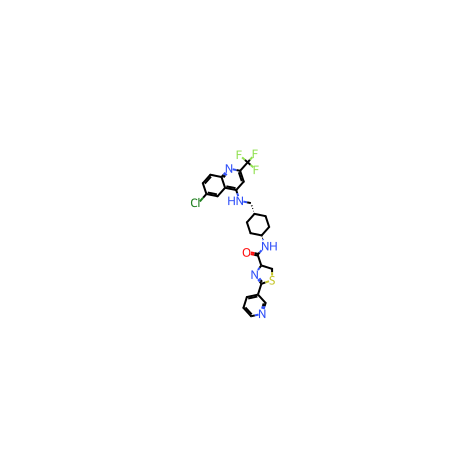 O=C(N[C@H]1CC[C@@H](CNc2cc(C(F)(F)F)nc3ccc(Cl)cc23)CC1)C1CSC(c2cccnc2)=N1